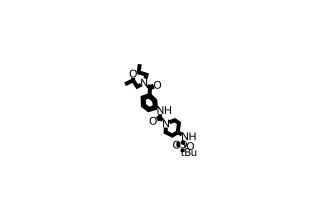 CC1CN(C(=O)c2cccc(NC(=O)N3CCC(NS(=O)(=O)C(C)(C)C)CC3)c2)CC(C)O1